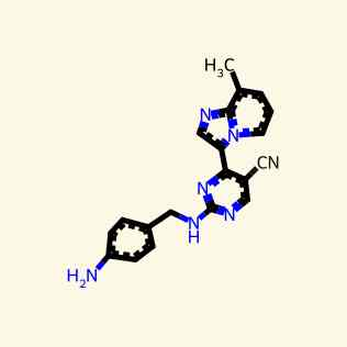 Cc1cccn2c(-c3nc(NCc4ccc(N)cc4)ncc3C#N)cnc12